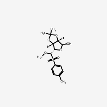 COC([C@H]1O[C@H](O)[C@H]2OC(C)(C)O[C@H]21)S(=O)(=O)c1ccc(C)cc1